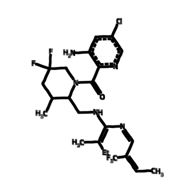 C\C=C(/C=N\C(NCC1C(C)CC(F)(F)CN1C(=O)c1ncc(Cl)cc1N)=C(\C)CC)C(F)(F)F